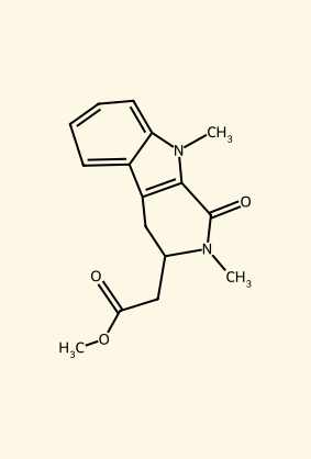 COC(=O)CC1Cc2c(n(C)c3ccccc23)C(=O)N1C